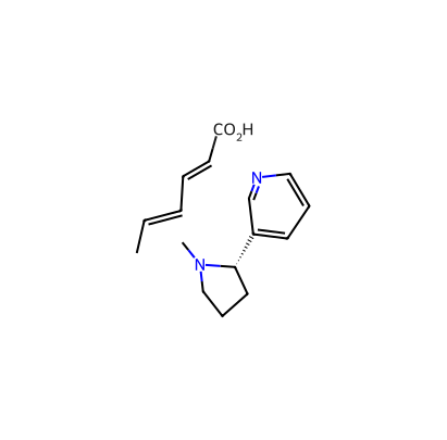 CC=CC=CC(=O)O.CN1CCC[C@H]1c1cccnc1